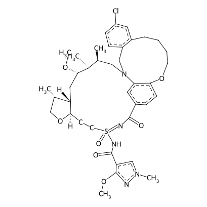 COc1nn(C)cc1C(=O)NS1(=O)=NC(=O)c2ccc3c(c2)N(Cc2ccc(Cl)cc2CCCCO3)C[C@H](C)[C@@H](C)[C@@H](OC)C[C@H]2[C@@H](C)CO[C@@H]2CC1